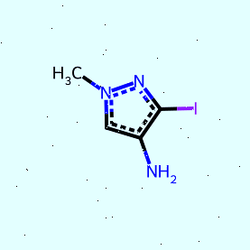 Cn1cc(N)c(I)n1